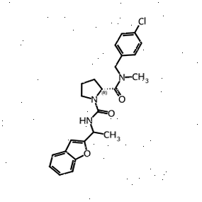 CC(NC(=O)N1CCC[C@@H]1C(=O)N(C)Cc1ccc(Cl)cc1)c1cc2ccccc2o1